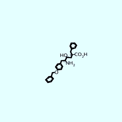 N[C@@H](Cc1ccc(OCc2ccccc2)cc1)[C@@H](O)C[C@@H](Cc1ccccc1)C(=O)O